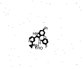 CC(C)C1CC(=O)c2c([nH]c(-c3ccnc(C4(NC=O)CC4)c3)c2Nc2cccc(F)c2)C1